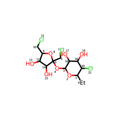 CCC1OC(OC2(CCl)OC(CCl)C(O)C2O)C(O)C(O)C1Cl